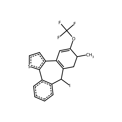 CC1CC2=C(C=C1OC(F)(F)F)c1ccsc1-c1ccccc1C2I